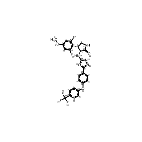 COc1cc(F)c([C@@H]2CNC(=O)[C@H]2Nc2nnc(-c3ccc(Oc4ccc(C(F)(F)F)nc4)cc3)o2)c(F)c1